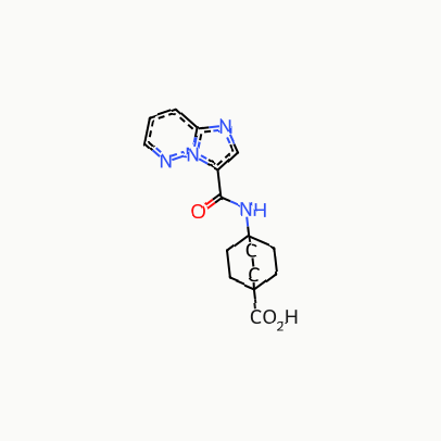 O=C(NC12CCC(C(=O)O)(CC1)CC2)c1cnc2cccnn12